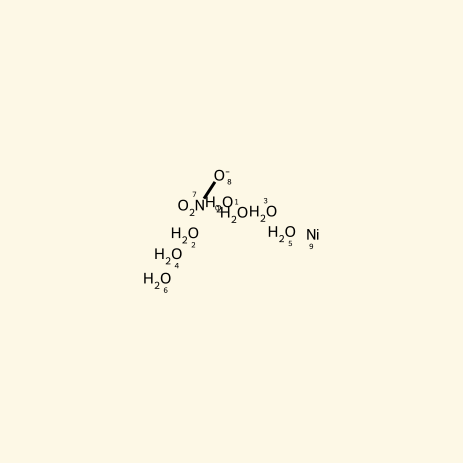 O.O.O.O.O.O.O.O=[N+]([O-])[O-].[Ni]